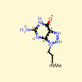 CNCCn1nnc2c(=O)[nH]c(N)nc21